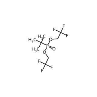 CC(C)(C)P(=O)(OCC(F)(F)F)OCC(F)(F)F